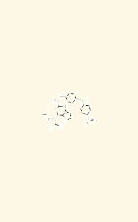 CC(C)C1COC(=O)N1c1nc(N[C@@H](C)c2ccc(Nc3ccc([N+](=O)[O-])cc3)cc2)nc2ccsc12